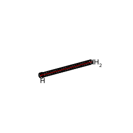 NCCOCCOCCOCCOCCOCCOCCOCCOCCOCCOCCOCCOCCOCCOCCOCCOCCOCCOCCOCCOCCOCCOCCOCCOCCOCCOCCOCCOCCOCCOCCOCCOCCOCCOCCOCCOCCOCCOCCOCCOCCOCCOCCOCCOCCOCCNC(=O)CCN1C(=O)C=CC1=O